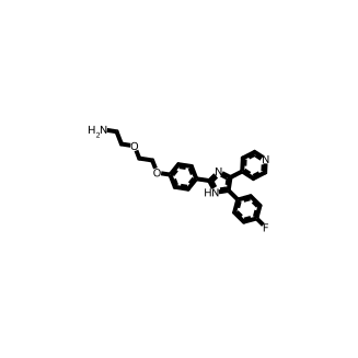 NCCOCCOc1ccc(-c2nc(-c3ccncc3)c(-c3ccc(F)cc3)[nH]2)cc1